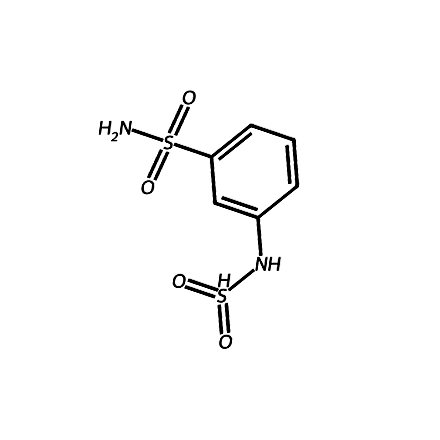 NS(=O)(=O)c1cccc(N[SH](=O)=O)c1